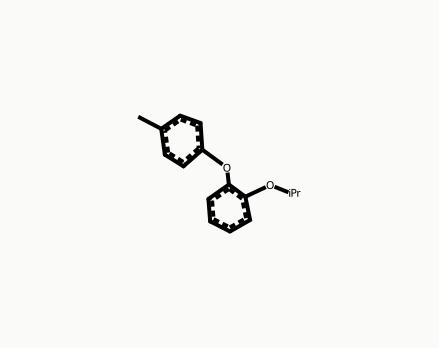 Cc1ccc(Oc2ccccc2OC(C)C)cc1